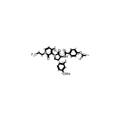 COc1ccc([C@@H]2CN(c3c(C)ccn(CCC(F)(F)F)c3=O)C(=O)C2NC(=O)c2ccc(OC(F)F)cc2)c(F)c1